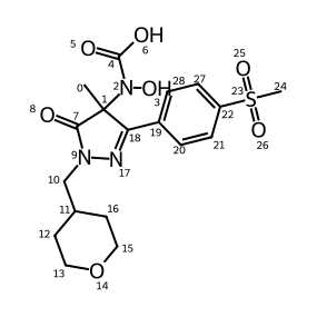 CC1(N(O)C(=O)O)C(=O)N(CC2CCOCC2)N=C1c1ccc(S(C)(=O)=O)cc1